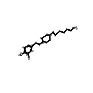 CCCCCCCC1CCC(CCc2ccc(O)c(Cl)c2)CC1